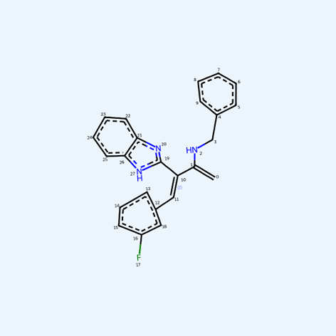 C=C(NCc1ccccc1)/C(=C/c1cccc(F)c1)c1nc2ccccc2[nH]1